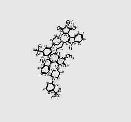 CN1C(=O)C(c2c(CCCCCc3[nH]c4ccccc4c3C3=C(N4CCN(c5cccc(C(F)(F)F)c5)CC4)C(=O)N(C)C3=O)[nH]c3ccccc23)=C(N2CCN(c3cccc(C(F)(F)F)c3)CC2)C1=O